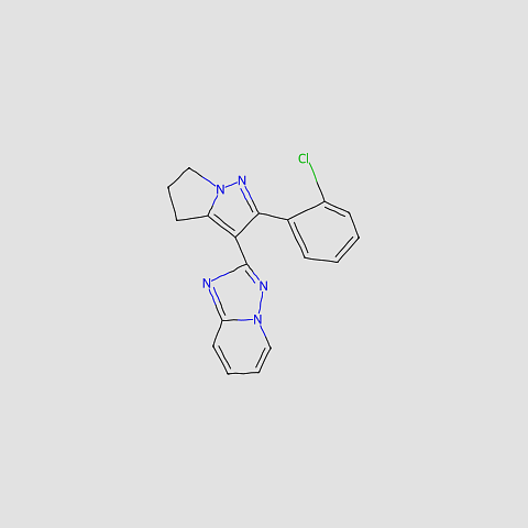 Clc1ccccc1-c1nn2c(c1-c1nc3ccccn3n1)CCC2